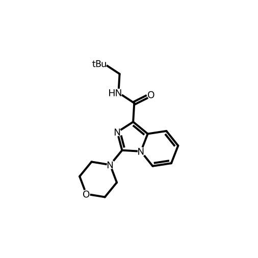 CC(C)(C)CNC(=O)c1nc(N2CCOCC2)n2ccccc12